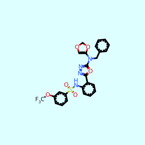 O=S(=O)(Nc1ccccc1-c1nnc(N(Cc2ccccc2)C2=COCO2)o1)c1cccc(OC(F)(F)F)c1